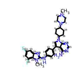 CN1CCN(C2CCC(n3cc(-c4ccc(Nc5nc6cc(F)cc(F)c6n5C)cc4)c4c(N)ncnc43)CC2)CC1